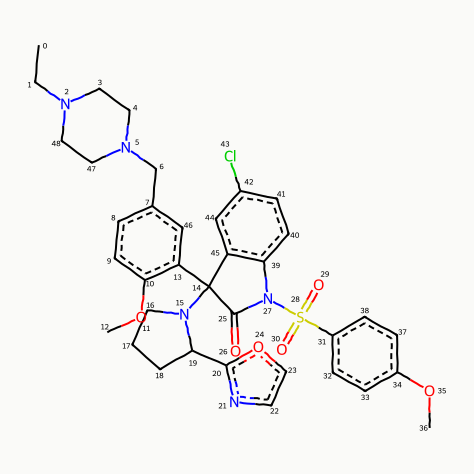 CCN1CCN(Cc2ccc(OC)c(C3(N4CCCC4c4ncco4)C(=O)N(S(=O)(=O)c4ccc(OC)cc4)c4ccc(Cl)cc43)c2)CC1